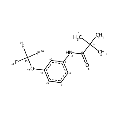 CC(C)(C)C(=O)Nc1cccc(OC(F)(F)F)c1